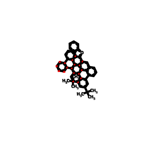 CC(C)(C)c1cc(-c2cccc3cccc(-c4ccccc4N(c4ccc5oc6ccccc6c5c4)c4ccccc4-c4ccccc4-c4ccccc4-c4ccccc4)c23)cc(C(C)(C)C)c1